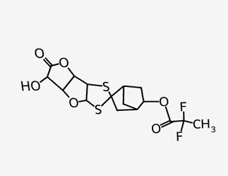 CC(F)(F)C(=O)OC1CC2CC1CC21SC2OC3C(O)C(=O)OC3C2S1